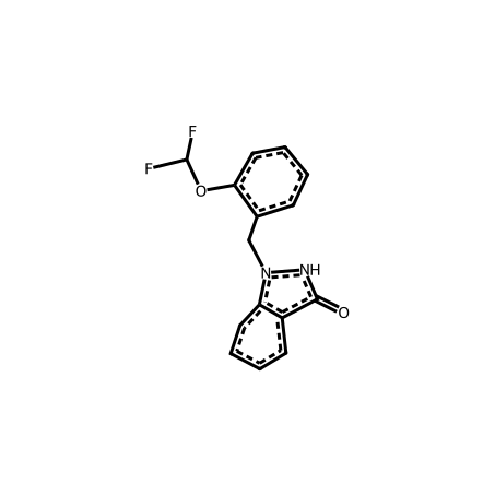 O=c1[nH]n(Cc2ccccc2OC(F)F)c2ccccc12